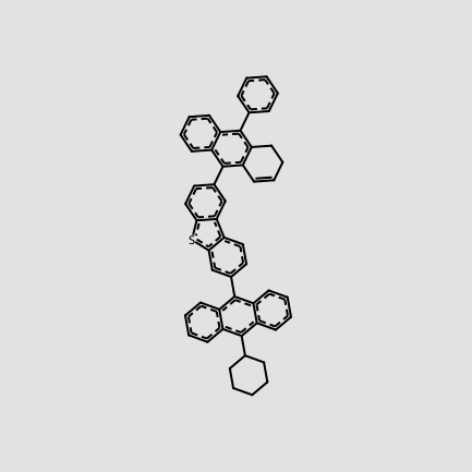 C1=Cc2c(c(-c3ccccc3)c3ccccc3c2-c2ccc3sc4cc(-c5c6ccccc6c(C6CCCCC6)c6ccccc56)ccc4c3c2)CC1